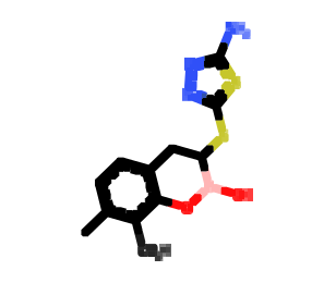 Cc1ccc2c(c1C(=O)O)OB(O)C(Sc1nnc(N)s1)C2